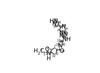 C=CC(=O)Nc1ccc(C(=O)N2CC[C@@H](Nc3nc4cnc(-c5cn[nH]c5)cn4n3)C2)cc1